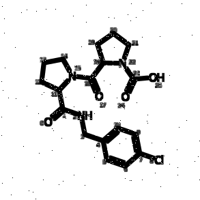 O=C(NCc1ccc(Cl)cc1)C1CCCN1C(=O)C1CCCN1C(=O)O